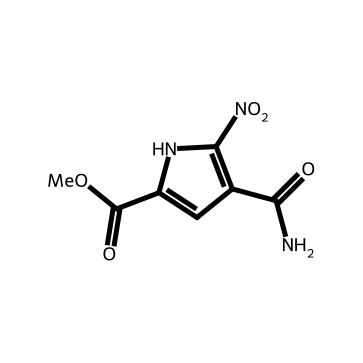 COC(=O)c1cc(C(N)=O)c([N+](=O)[O-])[nH]1